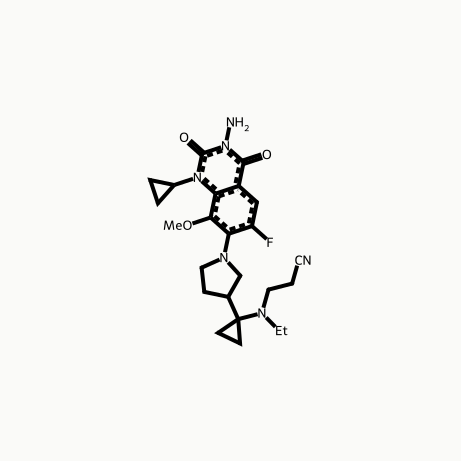 CCN(CCC#N)C1(C2CCN(c3c(F)cc4c(=O)n(N)c(=O)n(C5CC5)c4c3OC)C2)CC1